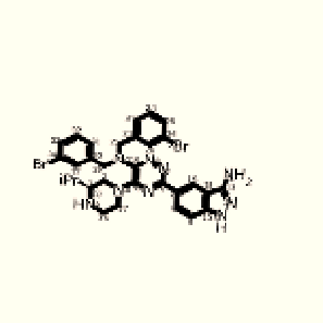 CC(C)[C@H]1CN(c2nc(-c3ccc4[nH]nc(N)c4c3)nnc2N(Cc2cccc(Br)c2)Cc2cccc(Br)c2)CCN1